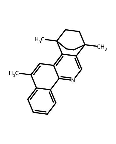 Cc1cc2c3c(cnc2c2ccccc12)C1(C)CCC3(C)CC1